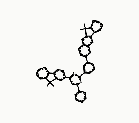 CC1(C)c2ccccc2-c2ccc(-c3cc(-c4ccccc4)nc(-c4cccc(-c5ccc6cc7c(cc6c5)-c5ccccc5C7(C)C)c4)n3)cc21